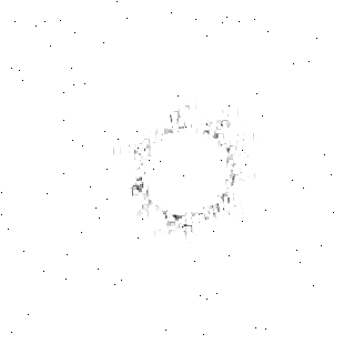 CCCC[C@H]1C(=O)N(C)[C@@H](CCCC)C(=O)N[C@@H](CCCN)C(=O)N[C@H](C(=O)NCC(N)=O)CSCC(=O)N[C@@H](Cc2ccc(O)cc2)C(=O)N2CCOCC2C(=O)N[C@@H](CC(N)=O)C(=O)N2CCC[C@H]2C(=O)N[C@@H](CC2=CCC=N2)C(=O)N[C@@H](CC(C)C)C(=O)N2C[C@H](O)C[C@H]2C(=O)N[C@@H](Cc2c[nH]c3ccccc23)C(=O)N[C@@H](CO)C(=O)N[C@@H](Cc2c[nH]c3ccccc23)C(=O)N1C